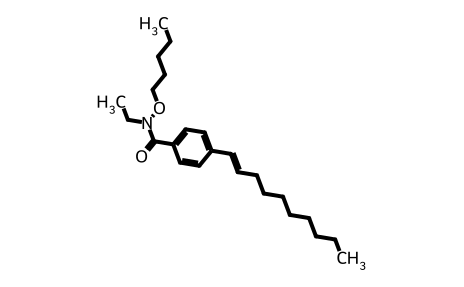 CCCCCCCCC=Cc1ccc(C(=O)N(CC)OCCCCC)cc1